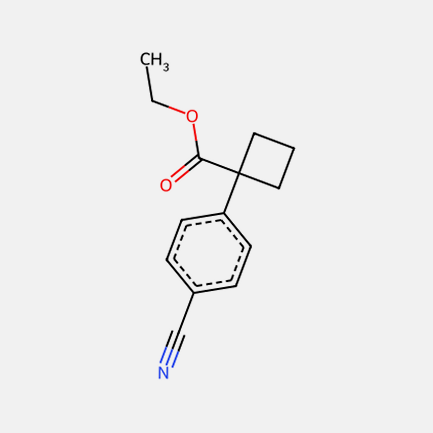 CCOC(=O)C1(c2ccc(C#N)cc2)CCC1